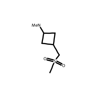 CNC1CC(CS(C)(=O)=O)C1